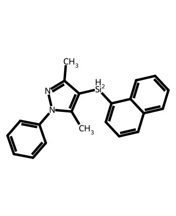 Cc1nn(-c2ccccc2)c(C)c1[SiH2]c1cccc2ccccc12